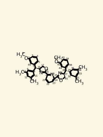 COc1cccc([C@H](c2cc(C)cc(C)c2)C2COC(c3cccc(C4=N[C@@H]([C@@H](c5cc(C)cc(C)c5)c5cccc(OC)c5)CO4)n3)=N2)c1